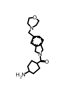 NC1CCC(C(=O)N2Cc3ccc(CN4CCOCC4)cc3C2)CC1